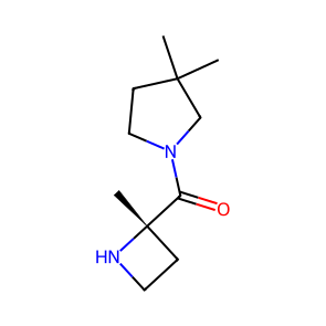 CC1(C)CCN(C(=O)[C@]2(C)CCN2)C1